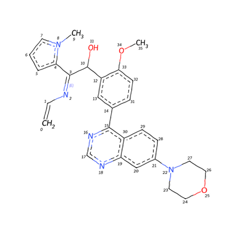 C=C/N=C(\c1cccn1C)C(O)c1cc(-c2ncnc3cc(N4CCOCC4)ccc23)ccc1OC